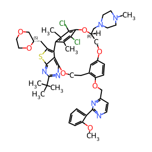 COc1ccccc1-c1nccc(COc2ccc3cc2CCOc2nc(C(C)(C)C)nc4sc(C[C@H]5COCCO5)c(c24)-c2c(C)c(Cl)c(c(Cl)c2C)O[C@H](CN2CCN(C)CC2)CO3)n1